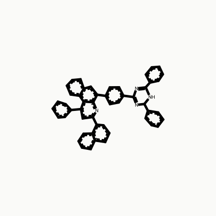 c1ccc(C2=NC(c3ccc(-c4cc5ccccc5c5c(-c6ccccc6)cc(-c6cccc7ccccc67)nc45)cc3)=NC(c3ccccc3)N2)cc1